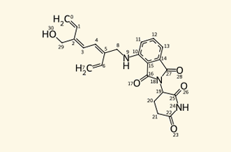 C=C/C(=C\C=C(/C=C)CNc1cccc2c1C(=O)N(C1CCC(=O)NC1=O)C2=O)CO